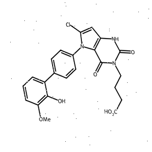 COc1cccc(-c2ccc(-n3c(Cl)cc4[nH]c(=O)n(CCCC(=O)O)c(=O)c43)cc2)c1O